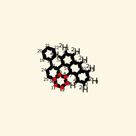 [2H]c1c([2H])c([2H])c2c(-c3ccccc3)c3c(-c4c(-c5ccccc5)ccc5ccccc45)c([2H])c([2H])c([2H])c3c([2H])c2c1[2H]